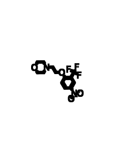 O=[N+]([O-])c1ccc(OCCN2CCOCC2)c(C(F)(F)F)c1